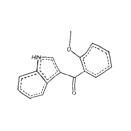 COc1ccccc1C(=O)c1c[nH]c2ccccc12